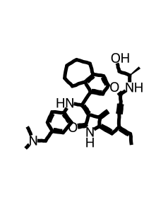 C=C1/C(=C(/Nc2ccc(CN(C)C)cc2)c2cccc3c2CCCCC3)C(=O)N/C1=C/C(C#CC(=O)N[C@H](C)CO)=C\C